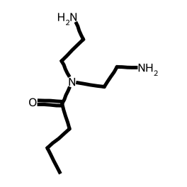 CCCC(=O)N(CCN)CCN